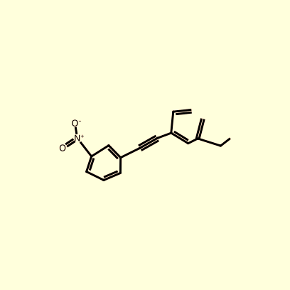 C=C/C(C#Cc1cccc([N+](=O)[O-])c1)=C\C(=C)CC